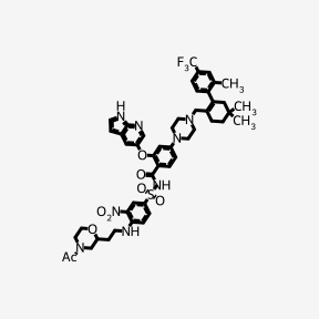 CC(=O)N1CCOC(CCNc2ccc(S(=O)(=O)NC(=O)c3ccc(N4CCN(CC5=C(c6ccc(C(F)(F)F)cc6C)CC(C)(C)CC5)CC4)cc3Oc3cnc4[nH]ccc4c3)cc2[N+](=O)[O-])C1